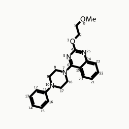 COCCOc1nc(N2CCN(c3ccccc3)CC2)c2ccccc2n1